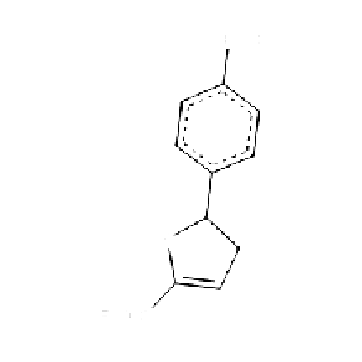 CCOC(=O)C1=CCC(c2ccc(C=O)cc2)S1